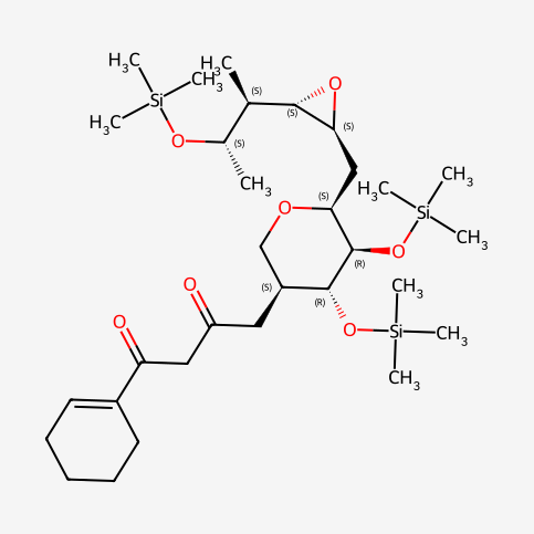 C[C@@H]([C@@H]1O[C@H]1C[C@@H]1OC[C@H](CC(=O)CC(=O)C2=CCCCC2)[C@@H](O[Si](C)(C)C)[C@@H]1O[Si](C)(C)C)[C@H](C)O[Si](C)(C)C